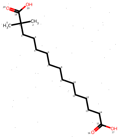 CC(C)(CCCCCCCCCCCCC(=O)O)C(=O)O